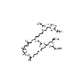 CCCCCCC(CCC(CCCCCCCC(=O)OCC(C)(C)CC(C)(C)COC(=O)CCCCCCCC(CCC(CCCCCC)OC(=O)CCCCC)OC(=O)CCCC)OC(=O)CCC)OC(=O)CCCCC